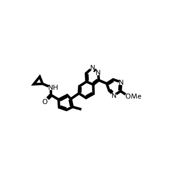 COc1ncc(-c2nncc3cc(-c4cc(C(=O)NC5CC5)ccc4C)ccc23)cn1